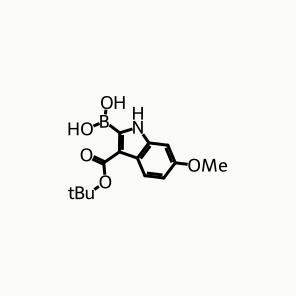 COc1ccc2c(C(=O)OC(C)(C)C)c(B(O)O)[nH]c2c1